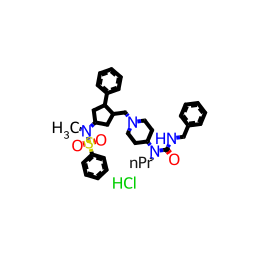 CCCN(C(=O)NCc1ccccc1)C1CCN(CC2CC(N(C)S(=O)(=O)c3ccccc3)CC2c2ccccc2)CC1.Cl